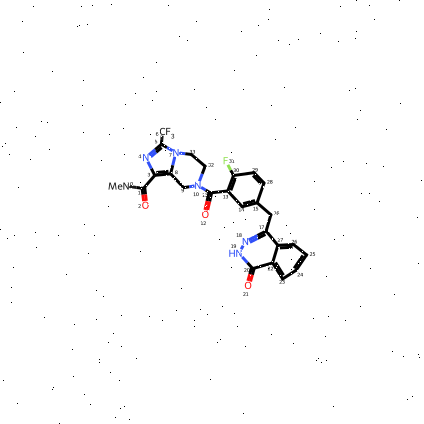 CNC(=O)c1nc(C(F)(F)F)n2c1CN(C(=O)c1cc(Cc3n[nH]c(=O)c4ccccc34)ccc1F)CC2